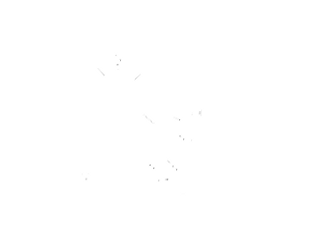 CC(C)(C)N(C(=O)O)C(CC=CCCC(=O)c1ccon1)c1nc(Br)cn1COCC[Si](C)(C)C